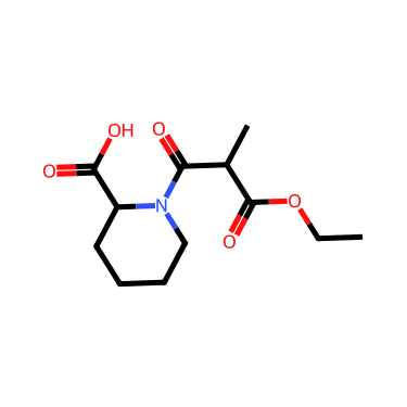 CCOC(=O)C(C)C(=O)N1CCCCC1C(=O)O